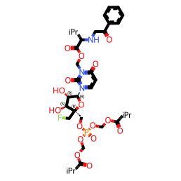 CC(C)C(=O)OCOP(=O)(OCOC(=O)C(C)C)OC[C@@]1(CF)O[C@@H](n2ccc(=O)n(COC(=O)C(NCC(=O)c3ccccc3)C(C)C)c2=O)[C@H](O)[C@@H]1O